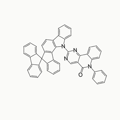 O=c1c2cnc(-n3c4ccccc4c4ccc5c(c43)-c3ccccc3C53c4ccccc4-c4ccccc43)nc2c2ccccc2n1-c1ccccc1